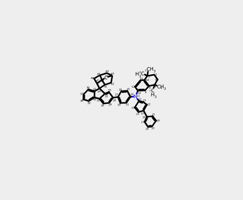 CC1(C)CCC(C)(C)c2cc(N(c3ccc(-c4ccccc4)cc3)c3ccc(-c4ccc5c(c4)C4(c6ccccc6-5)C5CC6CC7CC4C75C6)cc3)ccc21